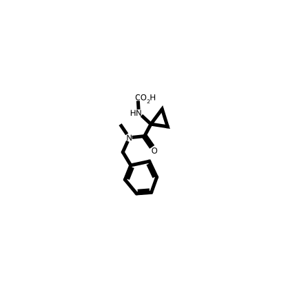 CN(Cc1ccccc1)C(=O)C1(NC(=O)O)CC1